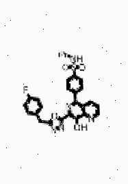 CC(C)NS(=O)(=O)c1ccc(-c2nc(-c3nnc(Cc4ccc(F)cc4)o3)c(O)c3ncccc23)cc1